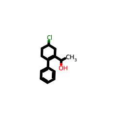 CC(O)C1=C(c2ccccc2)CCC(Cl)C1